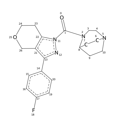 O=C(N1CCN2CCC1CC2)n1nc(-c2ccc(F)cc2)c2c1CCOC2